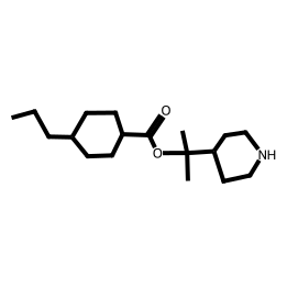 CCCC1CCC(C(=O)OC(C)(C)C2CCNCC2)CC1